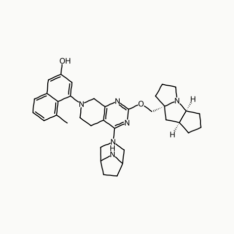 Cc1cccc2cc(O)cc(N3CCc4c(nc(OC[C@]56CCCN5[C@H]5CCC[C@H]5C6)nc4N4CC5CCC(C4)N5)C3)c12